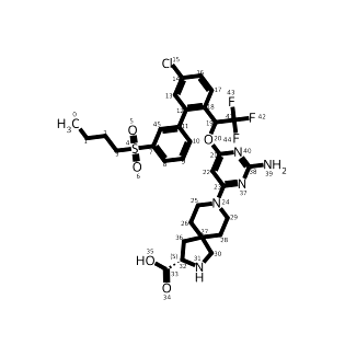 CCCCS(=O)(=O)c1cccc(-c2cc(Cl)ccc2C(Oc2cc(N3CCC4(CC3)CN[C@H](C(=O)O)C4)nc(N)n2)C(F)(F)F)c1